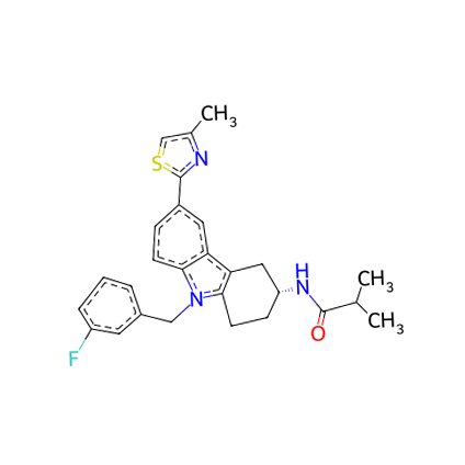 Cc1csc(-c2ccc3c(c2)c2c(n3Cc3cccc(F)c3)CC[C@@H](NC(=O)C(C)C)C2)n1